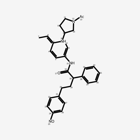 C\C=C(/C=C\C(=C/C)NC1CCN(C(C)=O)C1)NC(=O)C(CCc1ccc(N=O)cc1)c1ccccc1